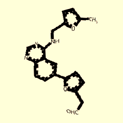 Cc1ccc(CNc2ncnc3ccc(-c4ccc(CC=O)o4)cc23)o1